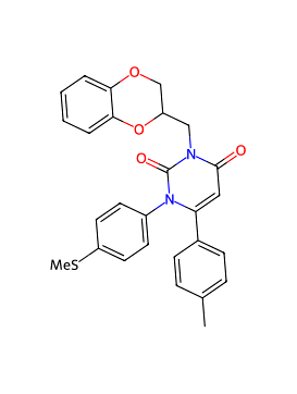 CSc1ccc(-n2c(-c3ccc(C)cc3)cc(=O)n(CC3COc4ccccc4O3)c2=O)cc1